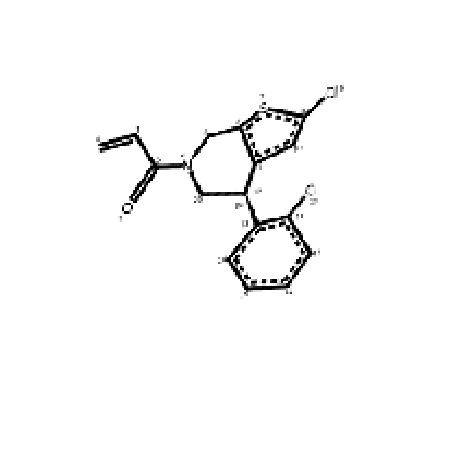 C=CC(=O)N1Cc2sc(Cl)cc2[C@@H](c2ccccc2Cl)C1